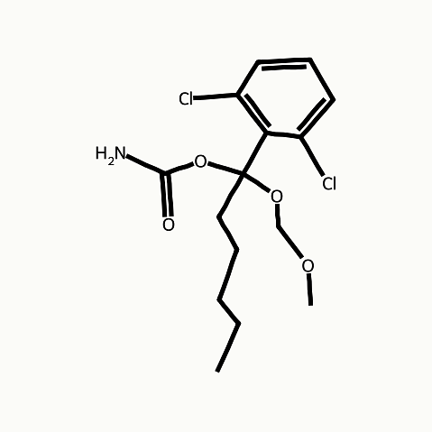 CCCCCC(OCOC)(OC(N)=O)c1c(Cl)cccc1Cl